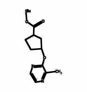 Cc1nccnc1OC1CCC(C(=O)OC(C)(C)C)C1